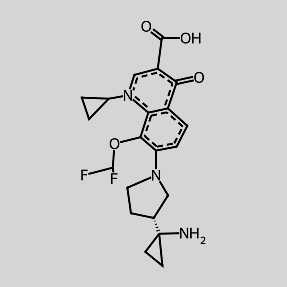 NC1([C@@H]2CCN(c3ccc4c(=O)c(C(=O)O)cn(C5CC5)c4c3OC(F)F)C2)CC1